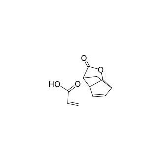 C=CC(=O)O.O=C1OC2C3C=CC2C1C3